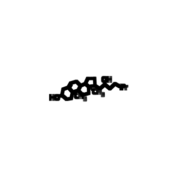 CC(C)CCC(O)CC1CCC2C3CC=C4CC(O)CCC4(C)C3CC[C@]12C